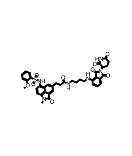 COc1ccccc1S(=O)(=O)Nc1ccc2c3c(cc(CCC(=O)NCCCCNc4cccc5c4C(=O)N(C4CCC(=O)NC4=O)C5=O)cc13)C(=O)N2C